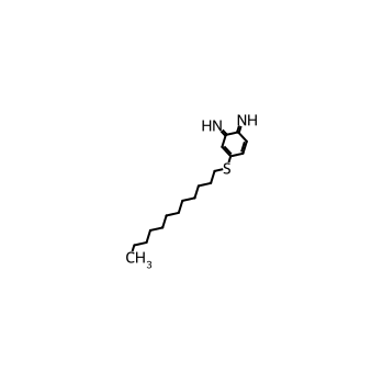 CCCCCCCCCCCCSC1=CC(=N)C(=N)C=C1